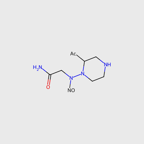 CC(=O)C1CNCCN1N(CC(N)=O)N=O